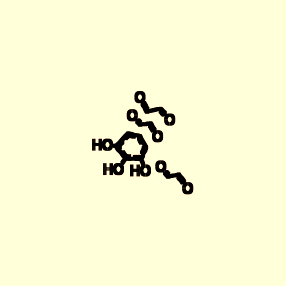 O=CC=O.O=CC=O.O=CC=O.Oc1cccc(O)c1O